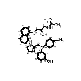 CC(C)NCC(O)COc1cccc2ccccc12.Cc1ccc(N(CC2=NCCN2)c2cccc(O)c2)cc1